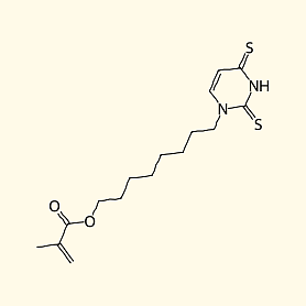 C=C(C)C(=O)OCCCCCCCCn1ccc(=S)[nH]c1=S